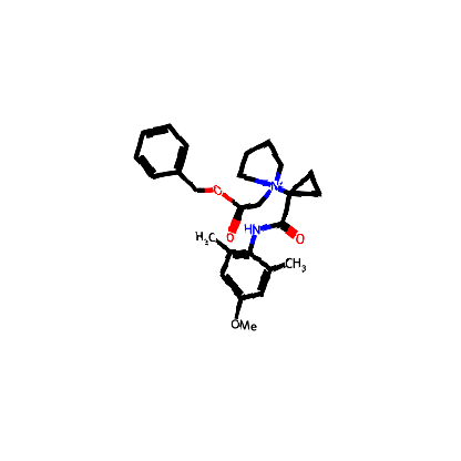 COc1cc(C)c(NC(=O)C2([N+]3(CC(=O)OCc4ccccc4)CCCC3)CC2)c(C)c1